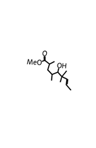 CC=CC(C)(C)C(O)C(C)CC(C)C(=O)OC